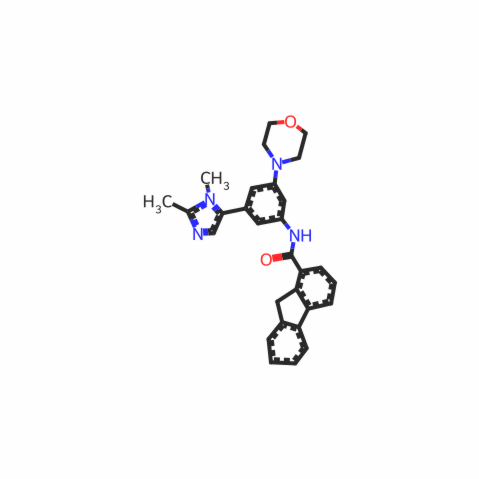 Cc1ncc(-c2cc(NC(=O)c3cccc4c3Cc3ccccc3-4)cc(N3CCOCC3)c2)n1C